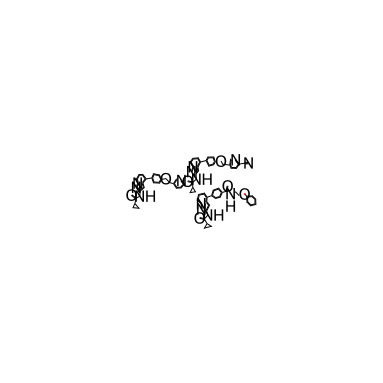 N#Cc1ccc(COc2ccc(-c3cccn4nc(NC(=O)C5CC5)cc34)cc2)cn1.O=C(NCCOc1ccccc1)c1ccc(-c2cccn3nc(NC(=O)C4CC4)cc23)cc1.O=C(Nc1cc2c(-c3ccc(OCc4cccnc4)cc3)cccn2n1)C1CC1